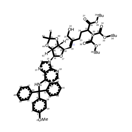 COc1ccc(C(Nc2ncnc3c2ncn3[C@@H]2O[C@H](/C=C(\CO)CCC(C(=O)OC(C)(C)C)N(C(=O)OC(C)(C)C)C(=O)OC(C)(C)C)[C@H]3OC(C)(C)O[C@H]32)(c2ccccc2)c2ccccc2)cc1